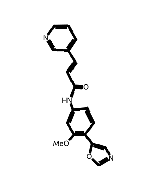 COc1cc(NC(=O)C=Cc2cccnc2)ccc1-c1cnco1